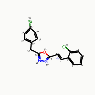 Clc1ccccc1/C=C/c1nnc(Cc2ccc(Br)cc2)o1